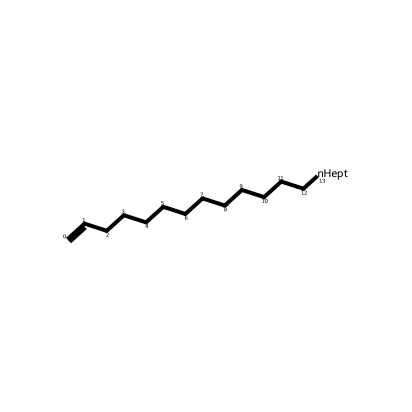 C=CCCCCCC[CH]CCCCCCCCCCC